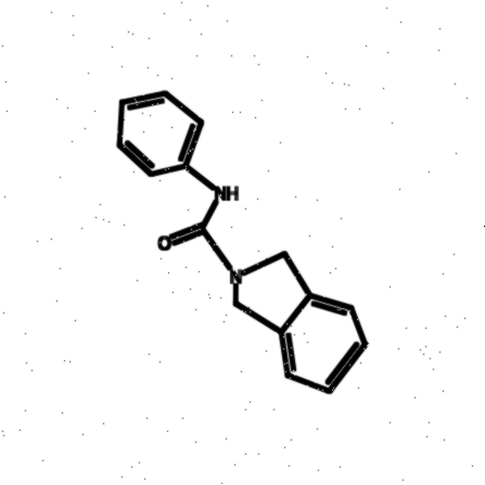 O=C(Nc1ccccc1)N1Cc2ccccc2C1